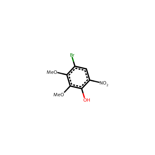 COc1c(Br)cc([N+](=O)[O-])c(O)c1OC